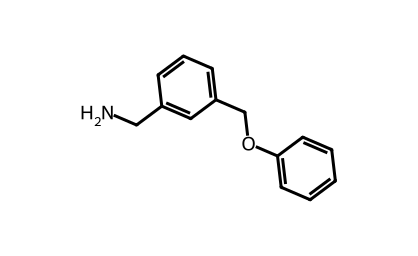 NCc1cccc(COc2ccccc2)c1